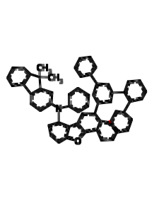 CC1(C)c2ccccc2-c2ccc(N(c3ccccc3)c3cccc4oc5c6ccccc6c(-c6cc(-c7ccccc7)cc(-c7ccccc7-c7ccccc7)c6)cc5c34)cc21